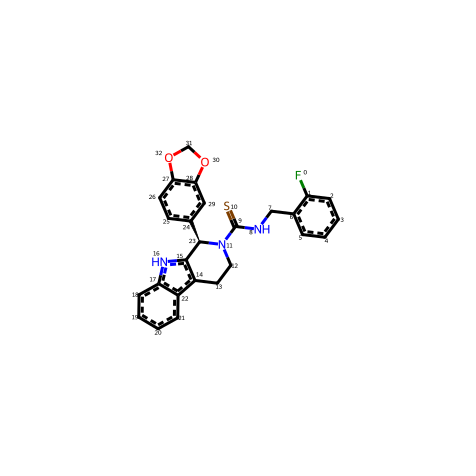 Fc1ccccc1CNC(=S)N1CCc2c([nH]c3ccccc23)[C@H]1c1ccc2c(c1)OCO2